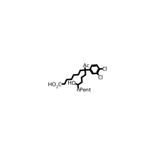 CCCCCC(O)CCCC(CCCCCCC(=O)O)(C(C)=O)c1ccc(Cl)c(Cl)c1